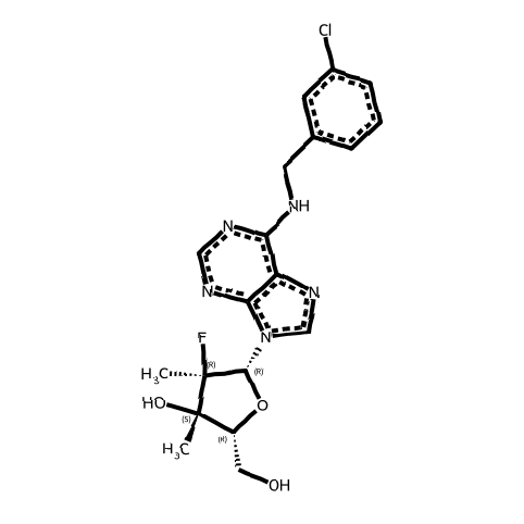 C[C@]1(O)[C@@H](CO)O[C@@H](n2cnc3c(NCc4cccc(Cl)c4)ncnc32)[C@]1(C)F